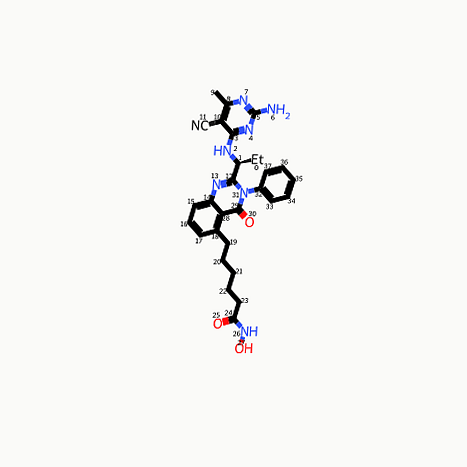 CC[C@H](Nc1nc(N)nc(C)c1C#N)c1nc2cccc(CCCCCC(=O)NO)c2c(=O)n1-c1ccccc1